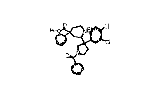 CCN1CCC(C(=O)OC)(c2ccccc2)CC1C1(c2ccc(Cl)c(Cl)c2)CCN(C(=O)c2ccccc2)C1